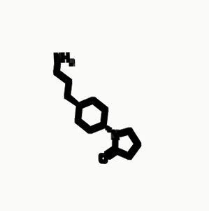 NCCC[C@H]1CC[C@H](N2CCCC2=O)CC1